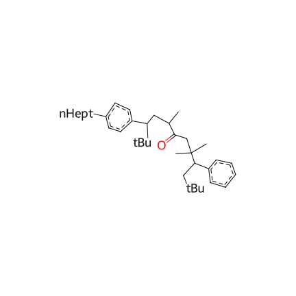 CCCCCCCc1ccc(C(CC(C)C(=O)CC(C)(C)C(CC(C)(C)C)c2ccccc2)C(C)(C)C)cc1